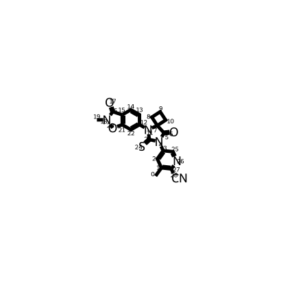 Cc1cc(N2C(=O)C3(CCC3)N(c3ccc4c(=O)n(C)oc4c3)C2=S)cnc1C#N